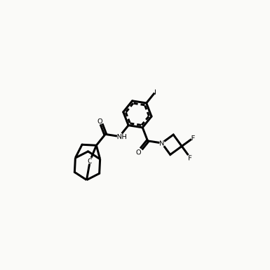 O=C(c1cc(I)ccc1NC(=O)C12CC3CC(CC1C3)C2)N1CC(F)(F)C1